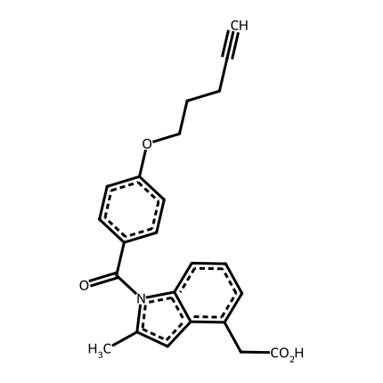 C#CCCCOc1ccc(C(=O)n2c(C)cc3c(CC(=O)O)cccc32)cc1